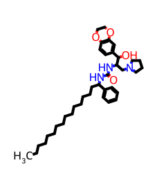 CCCCCCCCCCCCCCCC(NC(=O)NC(CN1CCCC1)C(O)c1ccc2c(c1)OCCO2)c1ccccc1